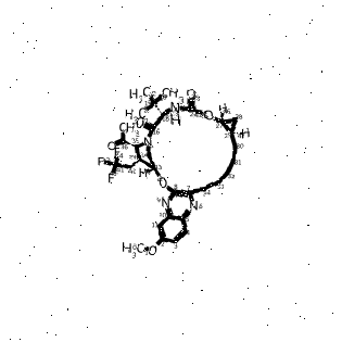 COc1ccc2nc3c(nc2c1)O[C@H]1CN(C(=O)[C@H](C(C)(C)C)NC(=O)O[C@@H]2C[C@H]2CCCCC3)[C@H](C(C)=O)[C@@H]1CC(F)(F)F